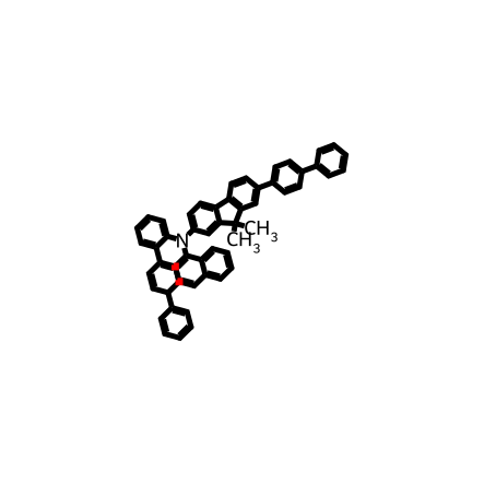 CC1(C)c2cc(-c3ccc(-c4ccccc4)cc3)ccc2-c2ccc(N(c3ccccc3C3=CCC(c4ccccc4)C=C3)c3cccc4ccccc34)cc21